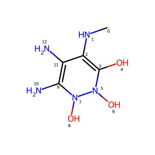 CNC1=C(O)N(O)N(O)C(N)=C1N